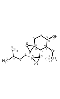 CO[C@H]1C([C@@]2(C)O[C@@H]2CCC(C)C)[C@]2(CC[C@H]1O)CO2